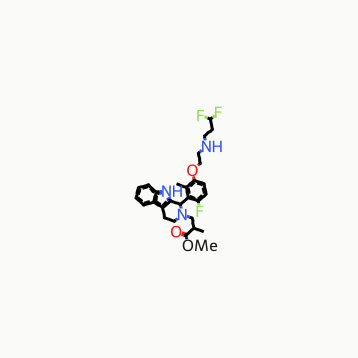 COC(=O)C(C)CN1CCc2c([nH]c3ccccc23)C1c1c(F)ccc(OCCNCCC(F)F)c1C